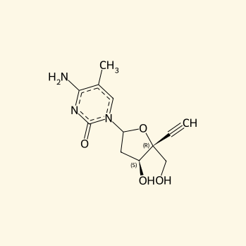 C#C[C@]1(CO)OC(n2cc(C)c(N)nc2=O)C[C@@H]1O